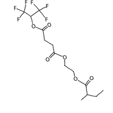 CCC(C)C(=O)OCCOC(=O)CCC(=O)OC(C(F)(F)F)C(F)(F)F